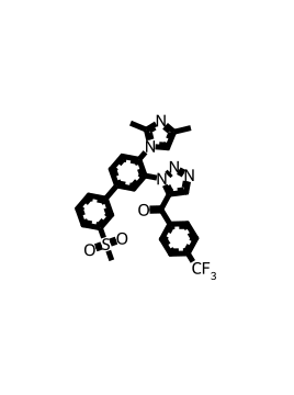 Cc1cn(-c2ccc(-c3cccc(S(C)(=O)=O)c3)cc2-n2nncc2C(=O)c2ccc(C(F)(F)F)cc2)c(C)n1